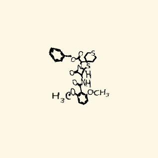 COc1cccc(OC)c1C(=O)NC1C(=O)N2C(C(=O)OCc3ccccc3)C3(CCSCC3)S[C@@H]12